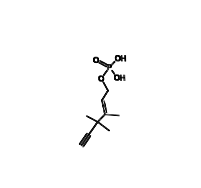 C#CC(C)(C)C(C)=CCOP(=O)(O)O